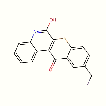 O=c1c2cc(CI)ccc2sc2c(O)nc3ccccc3c12